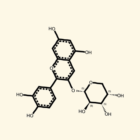 Oc1cc(O)c2cc(O[C@@H]3OC[C@H](O)[C@H](O)[C@H]3O)c(-c3ccc(O)c(O)c3)[o+]c2c1